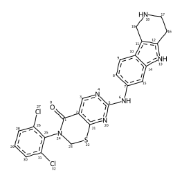 O=C1c2cnc(Nc3ccc4c5c([nH]c4c3)CCNC5)nc2SCN1c1c(Cl)cccc1Cl